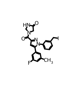 Cc1cc(F)cc(-c2cc(C(=O)N3CNC(=O)C3)nn2-c2cccc(CI)c2)c1